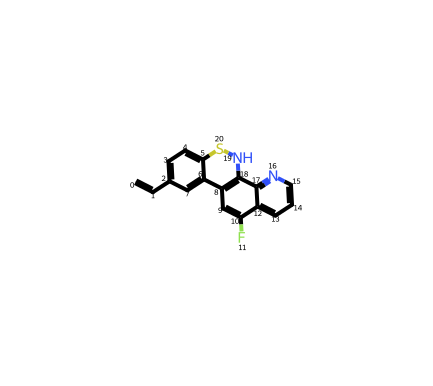 C=Cc1ccc2c(c1)-c1cc(F)c3cccnc3c1NS2